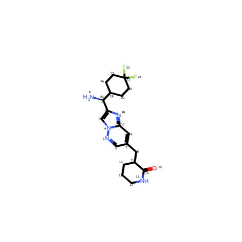 N[C@H](c1cn2ncc(CC3CCCNC3=O)cc2n1)C1CCC(F)(F)CC1